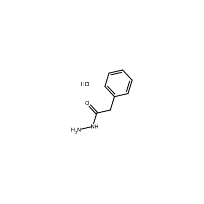 Cl.NNC(=O)Cc1ccccc1